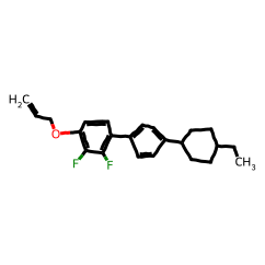 C=CCOc1ccc(-c2ccc(C3CCC(CC)CC3)cc2)c(F)c1F